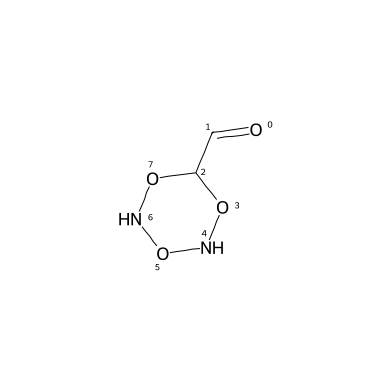 O=CC1ONONO1